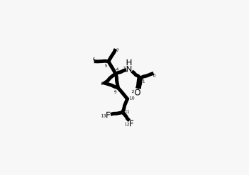 CC(=O)NC1(C(C)C)CC1CC(F)F